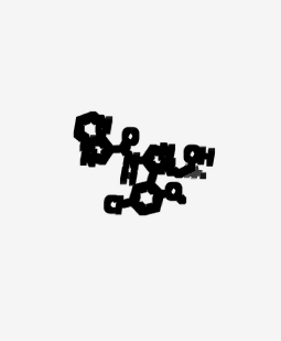 COc1ccc(Cl)cc1-c1c(NC(=O)c2cnn3cccnc23)cnn1C[C@@H](C)O